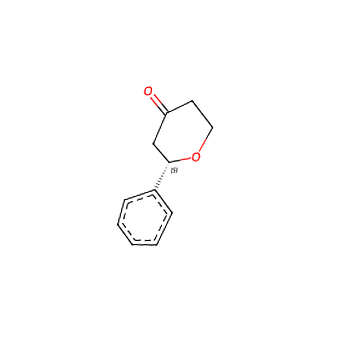 O=C1CCO[C@H](c2ccccc2)C1